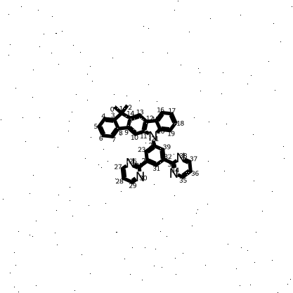 CC1(C)c2ccccc2-c2cc3c(cc21)c1ccccc1n3-c1cc(-c2ncccn2)cc(-c2ncccn2)c1